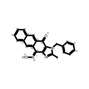 Cc1nc2c(n1Cc1ccccc1)C(=O)c1cc3ccccc3cc1/C2=N\O